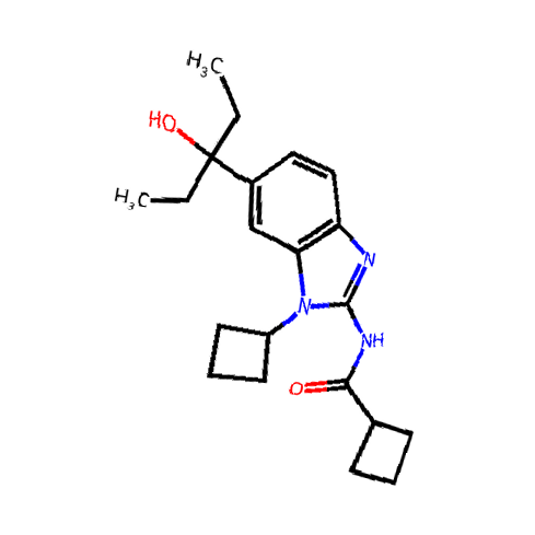 CCC(O)(CC)c1ccc2nc(NC(=O)C3CCC3)n(C3CCC3)c2c1